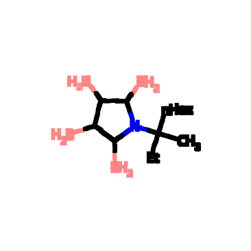 BC1C(B)C(B)N(C(C)(CC)CCCCCC)C1B